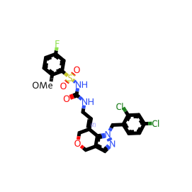 COc1ccc(F)cc1S(=O)(=O)NC(=O)NC/C=C1\COCc2cnn(Cc3ccc(Cl)cc3Cl)c21